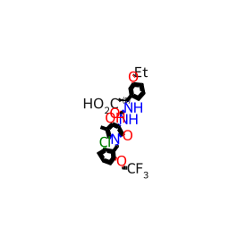 CCOc1cccc([C@H](CC(=O)O)NC(=O)Nc2c(O)c(C)cn(Cc3c(Cl)cccc3OCC(F)(F)F)c2=O)c1